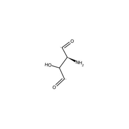 N[C@H]([C]=O)C(O)[C]=O